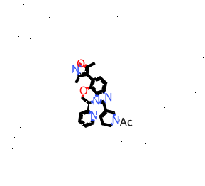 CC(=O)N1CCC=C(c2nc3ccc(-c4c(C)noc4C)c4c3n2[C@@H](c2ccccn2)CO4)C1